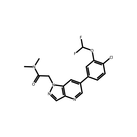 CN(C)C(=O)Cn1ncc2ncc(-c3ccc(Cl)c(OC(F)F)c3)cc21